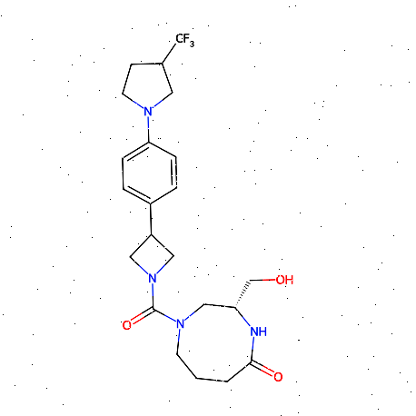 O=C1CCCN(C(=O)N2CC(c3ccc(N4CCC(C(F)(F)F)C4)cc3)C2)C[C@H](CO)N1